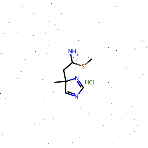 CSC(N)CC1(C)C=NC=N1.Cl